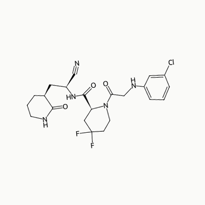 N#C[C@H](C[C@@H]1CCCNC1=O)NC(=O)[C@@H]1CC(F)(F)CCN1C(=O)CNc1cccc(Cl)c1